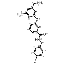 Cc1cc(CN)cc(Oc2cccc(C(=O)NCc3ccc(F)cc3)c2)n1